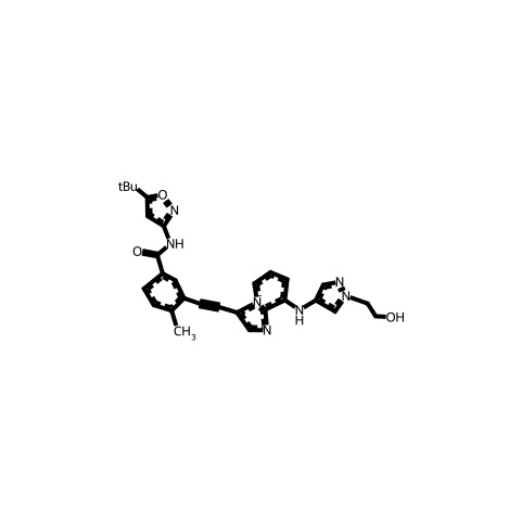 Cc1ccc(C(=O)Nc2cc(C(C)(C)C)on2)cc1C#Cc1cnc2c(Nc3cnn(CCO)c3)cccn12